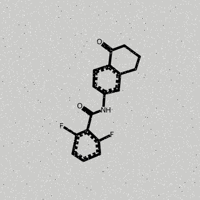 O=C1CCCc2cc(NC(=O)c3c(F)cccc3F)ccc21